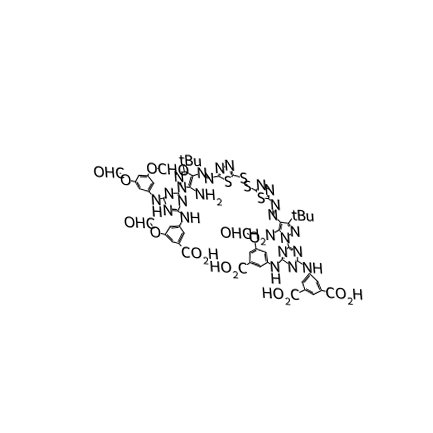 CC(C)(C)c1nn(-c2nc(Nc3cc(OC=O)cc(OC=O)c3)nc(Nc3cc(OC=O)cc(C(=O)O)c3)n2)c(N)c1N=Nc1nnc(SSc2nnc(N=Nc3c(C(C)(C)C)nn(-c4nc(Nc5cc(OC=O)cc(C(=O)O)c5)nc(Nc5cc(C(=O)O)cc(C(=O)O)c5)n4)c3N)s2)s1